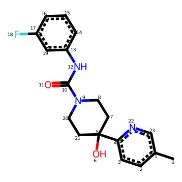 Cc1ccc(C2(O)CCN(C(=O)Nc3cccc(F)c3)CC2)nc1